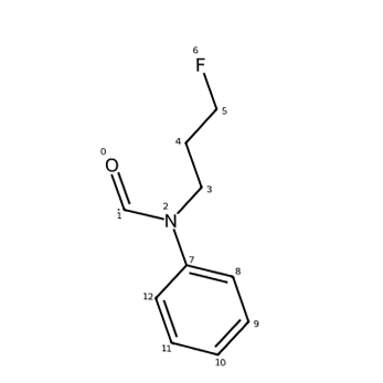 O=[C]N(CCCF)c1ccccc1